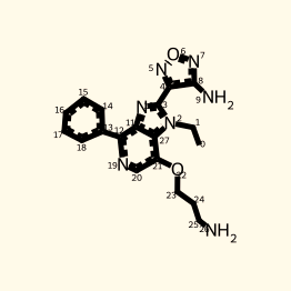 CCn1c(-c2nonc2N)nc2c(-c3ccccc3)ncc(OCCCN)c21